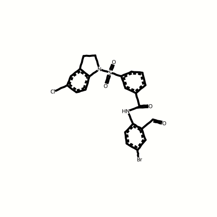 O=Cc1cc(Br)ccc1NC(=O)c1cccc(S(=O)(=O)N2CCc3cc(Cl)ccc32)c1